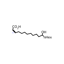 CCCCCCC(O)CCCCCCCC/C=C\C(=O)O